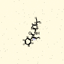 C/C=C(\C(=O)Nc1ncc(C(C)C)s1)c1ccccc1